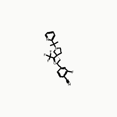 CC(C)(c1ccccn1)N1CC[C@@](CCc2ccc(C#N)c(F)c2)(C(=O)C(F)(F)F)C1